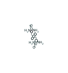 Nc1cc(Cc2c3ccccc3c(Cc3cc(N)c(OCC4CO4)c(N)c3)c3ccccc23)cc(N)c1OCC1CO1